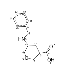 O=C(O)C1COCC(NCc2ccccc2)C1